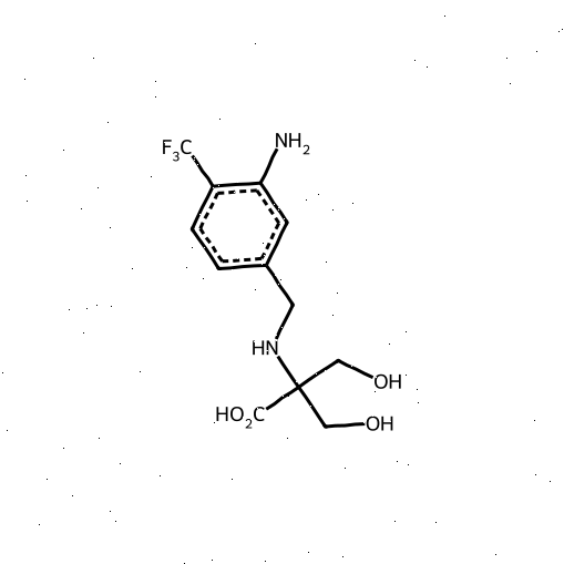 Nc1cc(CNC(CO)(CO)C(=O)O)ccc1C(F)(F)F